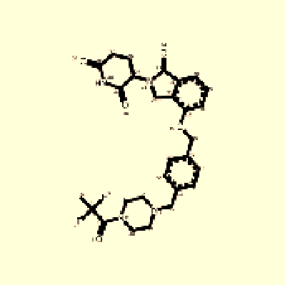 CC(F)(F)C(=O)N1CCN(Cc2ccc(COc3cccc4c3CN(C3CCC(=O)NC3=O)C4=O)cc2)CC1